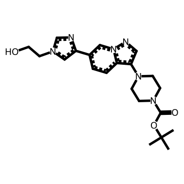 CC(C)(C)OC(=O)N1CCN(c2cnn3cc(-c4cn(CCO)cn4)ccc23)CC1